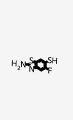 Nc1nc2cc(F)c(S)cc2s1